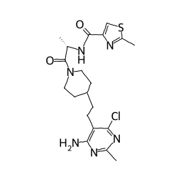 Cc1nc(N)c(CCC2CCN(C(=O)[C@H](C)NC(=O)c3csc(C)n3)CC2)c(Cl)n1